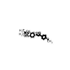 COc1ccc(-c2cc([C@H]3CC[C@H](NS(=O)(=O)C(C)(C)C)CC3)[nH]n2)cc1